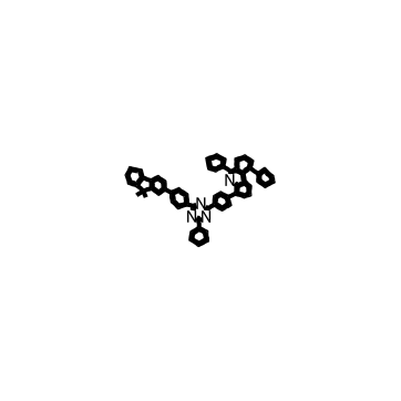 CC1(C)c2ccccc2-c2ccc(-c3ccc(-c4nc(-c5ccccc5)nc(-c5ccc(-c6cccc7c6nc(-c6ccccc6)c6cccc(-c8ccccc8)c67)cc5)n4)cc3)cc21